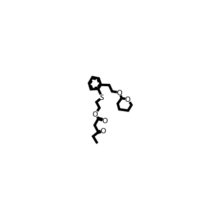 CCC(=O)CC(=O)OCCSc1ccccc1CCOC1CCCCO1